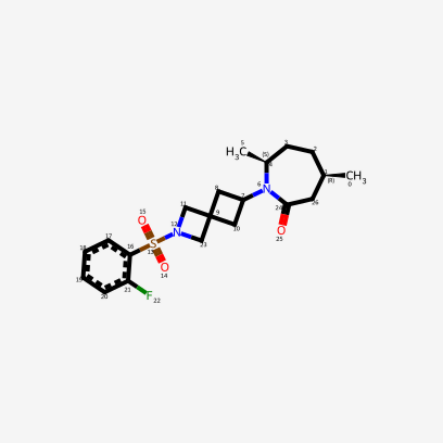 C[C@@H]1CC[C@H](C)N(C2CC3(C2)CN(S(=O)(=O)c2ccccc2F)C3)C(=O)C1